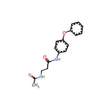 CC(=O)NCCC(=O)Nc1ccc(Oc2ccccc2)cc1